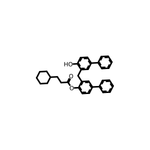 O=C(CCC1CCCCC1)Oc1ccc(-c2ccccc2)cc1Cc1cc(-c2ccccc2)ccc1O